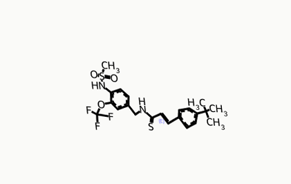 CC(C)(C)c1ccc(/C=C/C(=S)NCc2ccc(NS(C)(=O)=O)c(OC(F)(F)F)c2)cc1